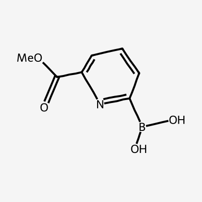 COC(=O)c1cccc(B(O)O)n1